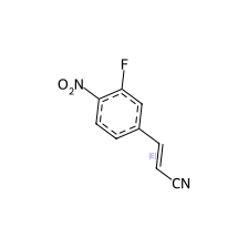 N#C/C=C/c1ccc([N+](=O)[O-])c(F)c1